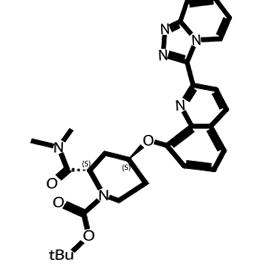 CN(C)C(=O)[C@@H]1C[C@@H](Oc2cccc3ccc(-c4nnc5ccccn45)nc23)CCN1C(=O)OC(C)(C)C